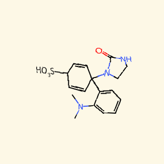 CN(C)c1ccccc1C1(N2CCNC2=O)C=CC(S(=O)(=O)O)C=C1